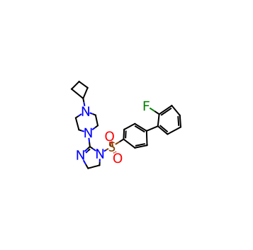 O=S(=O)(c1ccc(-c2ccccc2F)cc1)N1CCN=C1N1CCN(C2CCC2)CC1